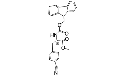 COC(=O)[C@H](Cc1ccc(C#N)cc1)NC(=O)OCC1c2ccccc2-c2ccccc21